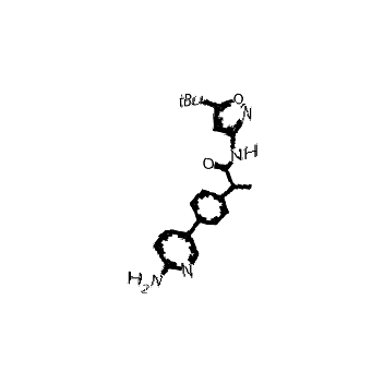 CC(C(=O)Nc1cc(C(C)(C)C)on1)c1ccc(-c2ccc(N)nc2)cc1